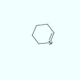 C1=[Si]CCCC1